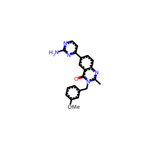 COc1cccc(Cn2c(C)nc3ccc(-c4ccnc(N)n4)cc3c2=O)c1